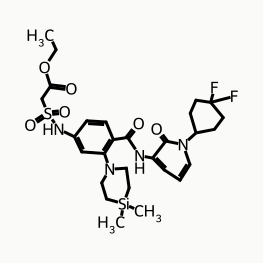 CCOC(=O)CS(=O)(=O)Nc1ccc(C(=O)Nc2cccn(C3CCC(F)(F)CC3)c2=O)c(N2CC[Si](C)(C)CC2)c1